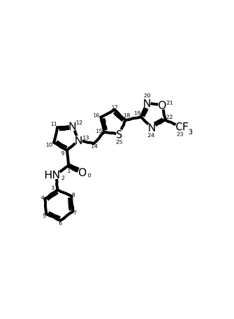 O=C(Nc1ccccc1)c1ccnn1Cc1ccc(-c2noc(C(F)(F)F)n2)s1